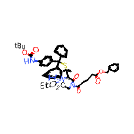 CCOC(=O)CN(C(=O)CCCC(=O)OCc1ccccc1)C(=O)[C@@H](N)C(C)(C)SC(c1ccccc1)(c1ccccc1)c1ccc(NC(=O)OC(C)(C)C)cc1